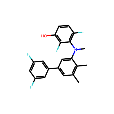 Cc1cc(-c2cc(F)cc(F)c2)cc(N(C)c2c(F)ccc(O)c2F)c1C